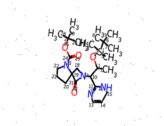 CC(O[Si](C)(C)C(C)(C)C)C(C1=NC=CCN1)N1CC2(CCCN2C(=O)OC(C)(C)C)C1=O